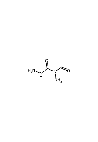 NNC(=O)N(N)C=O